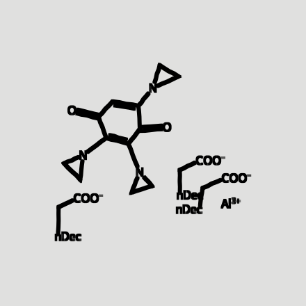 CCCCCCCCCCCC(=O)[O-].CCCCCCCCCCCC(=O)[O-].CCCCCCCCCCCC(=O)[O-].O=C1C=C(N2CC2)C(=O)C(N2CC2)=C1N1CC1.[Al+3]